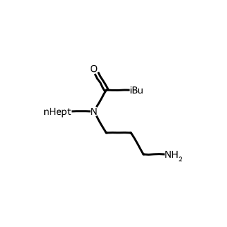 CCCCCCCN(CCCN)C(=O)C(C)CC